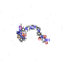 COc1cc(N2CCC(N3CCN(C[C@H]4CCN(c5ccc6c(c5)CN(C5CCC(=O)NC5=O)C6=O)C4)CC3)CC2)c(C)cc1Nc1ncc(Br)c(N2c3cccc4c3N(CC4)S2(=O)=O)n1